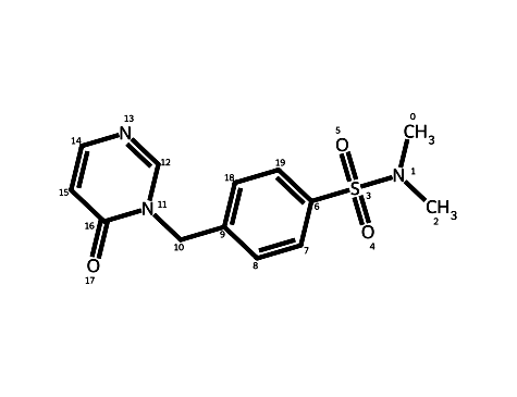 CN(C)S(=O)(=O)c1ccc(Cn2cnccc2=O)cc1